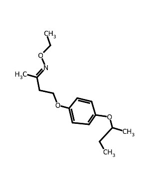 CCON=C(C)CCOc1ccc(OC(C)CC)cc1